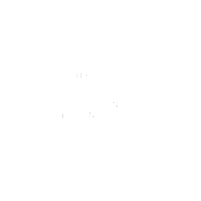 CC1(C)c2cc(C=O)[nH]c2-n2c3ccccc3c3cccc1c32